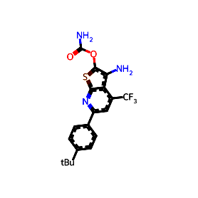 CC(C)(C)c1ccc(-c2cc(C(F)(F)F)c3c(N)c(OC(N)=O)sc3n2)cc1